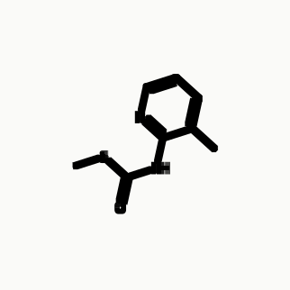 CSC(=O)Nc1ncccc1C